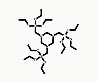 CCO[Si](CN1CN(C[Si](OCC)(OCC)OCC)CN(C[Si](OCC)(OCC)OCC)C1)(OCC)OCC